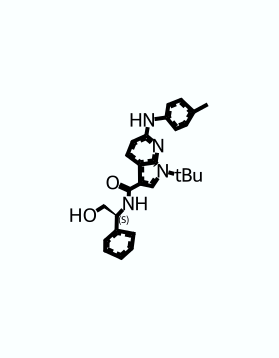 Cc1ccc(Nc2ccc3c(C(=O)N[C@H](CO)c4ccccc4)cn(C(C)(C)C)c3n2)cc1